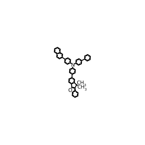 CC1(C)c2cc(-c3ccc(N(c4ccc(-c5ccccc5)cc4)c4ccc(-c5ccc6ccccc6c5)cc4)cc3)ccc2-c2oc3ccccc3c21